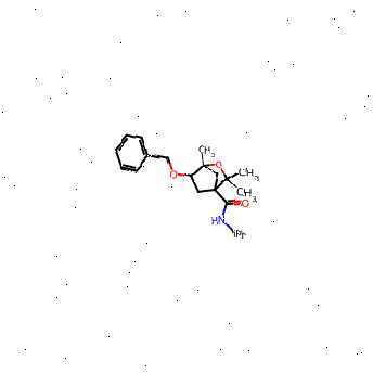 CC(C)NC(=O)C12CC(OCc3ccccc3)C(C)(C1)OC2(C)C